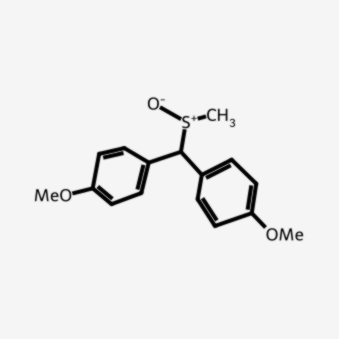 COc1ccc(C(c2ccc(OC)cc2)[S+](C)[O-])cc1